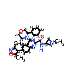 Cc1noc(C)c1-c1ccc2nc(C(=O)NC3CN(C)C3)nc(N3CCOCC3c3ccccc3)c2c1